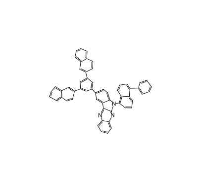 c1ccc(-c2cccc3c(-n4c5ccc(-c6cc(-c7ccc8ccccc8c7)cc(-c7ccc8ccccc8c7)c6)cc5c5nc6ccccc6nc54)cccc23)cc1